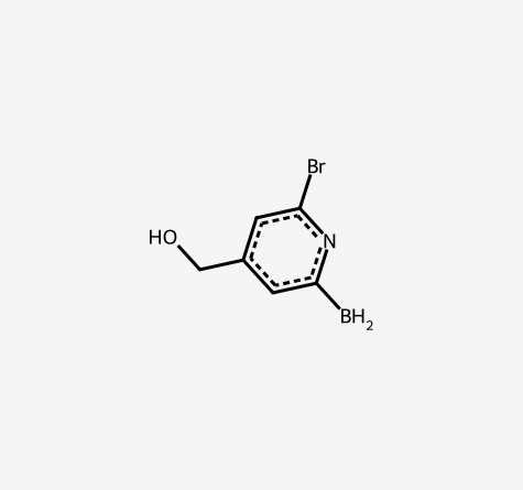 Bc1cc(CO)cc(Br)n1